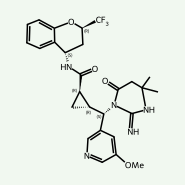 COc1cncc([C@H]([C@@H]2C[C@H]2C(=O)N[C@H]2C[C@H](C(F)(F)F)Oc3ccccc32)N2C(=N)NC(C)(C)CC2=O)c1